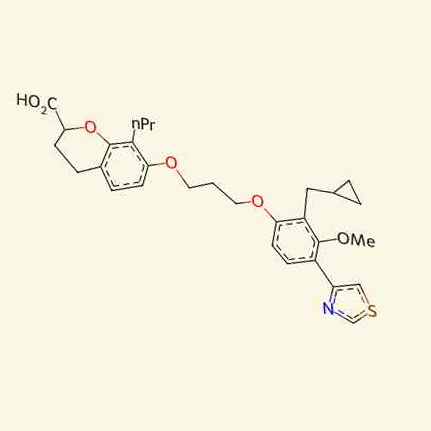 CCCc1c(OCCCOc2ccc(-c3cscn3)c(OC)c2CC2CC2)ccc2c1OC(C(=O)O)CC2